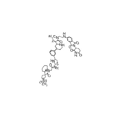 CN(CCNc1ccc2c(c1)C(=O)N(C1CCC(=O)NC1=O)C2=O)C(=O)C1(C2CC(c3cccc(C4CSC(NC(=O)CNC(=O)C5(C6CCCCC6)CCN(S(C)(=O)=O)C5)N4)c3)CCN2)CC1